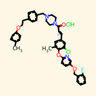 Cc1ccc(OCCc2ccc(CN3CCN(C(=O)/C=C/c4cc(C)c(Oc5ccc(OCc6ccccc6F)cn5)c(Cl)c4)CC3)cc2)cc1.Cl